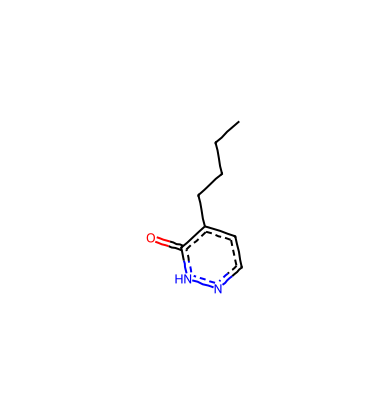 CCCCc1ccn[nH]c1=O